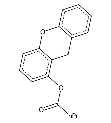 CCCC(=O)Oc1cccc2c1Cc1ccccc1O2